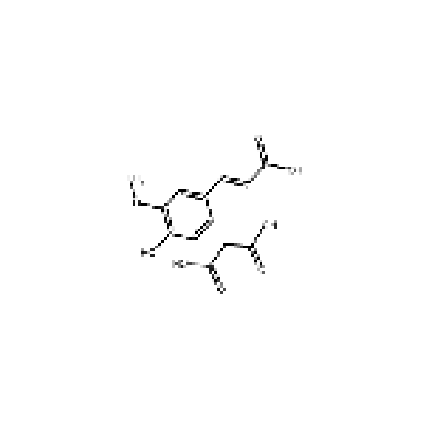 COc1cc(C=CC(=O)O)ccc1O.O=C(O)CC(=O)O